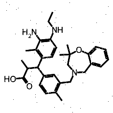 CCNc1ccc(C(c2ccc(C)c(CN3Cc4ccccc4OC(C)(C)C3)c2)C(C)C(=O)O)c(C)c1N